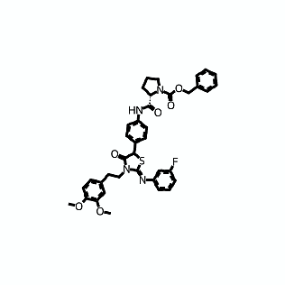 COc1ccc(CCN2C(=O)C(c3ccc(NC(=O)[C@@H]4CCCN4C(=O)OCc4ccccc4)cc3)S/C2=N\c2cccc(F)c2)cc1OC